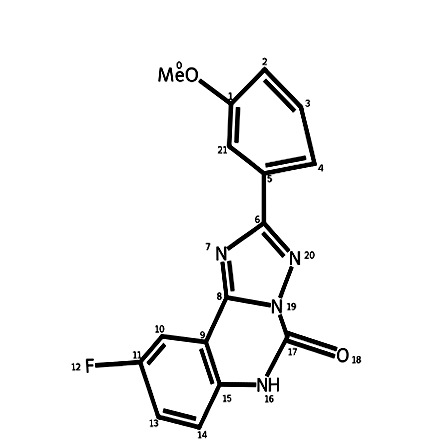 COc1cccc(-c2nc3c4cc(F)ccc4[nH]c(=O)n3n2)c1